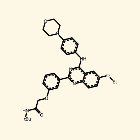 CCOc1ccc2nc(-c3cccc(OCC(=O)NC(C)(C)C)c3)nc(Nc3ccc(N4CCOCC4)cc3)c2c1